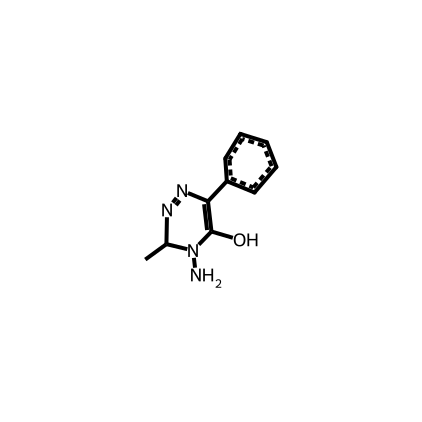 CC1N=NC(c2ccccc2)=C(O)N1N